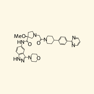 CO[C@@]1(C(=O)Nc2ccc3[nH]nc(N4CCOCC4)c3c2)CCN(CC(=O)N2CCC(c3ccc(-c4ncccn4)cc3)CC2)C1